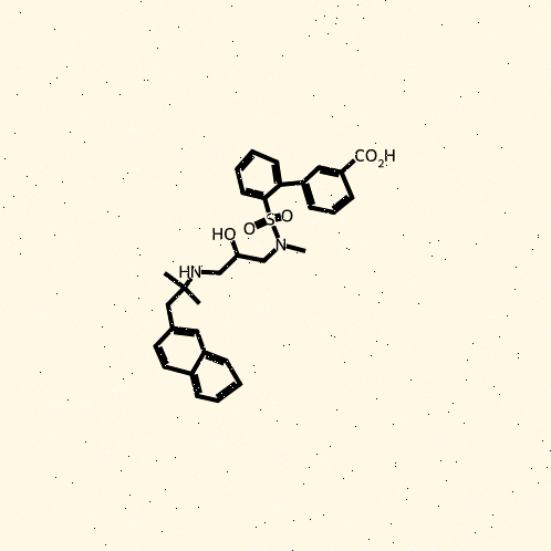 CN(CC(O)CNC(C)(C)Cc1ccc2ccccc2c1)S(=O)(=O)c1ccccc1-c1cccc(C(=O)O)c1